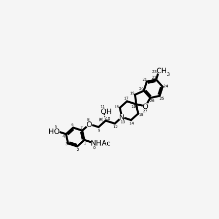 CC(=O)Nc1ccc(O)cc1OC[C@H](O)CN1CCC2(CC1)Cc1cc(C)ccc1O2